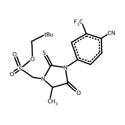 CC1C(=O)N(c2ccc(C#N)c(C(F)(F)F)c2)C(=S)N1CS(=O)(=O)OCC(C)(C)C